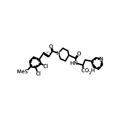 CSc1ccc(/C=C/C(=O)N2CCC(C(=O)NC(Cc3cccnc3)C(=O)O)CC2)c(Cl)c1Cl